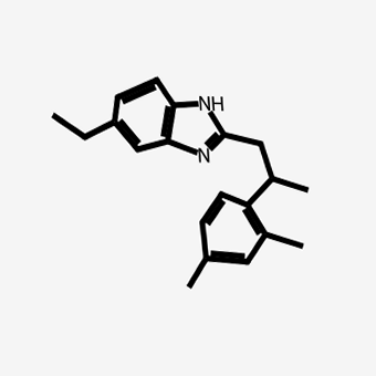 CCc1ccc2[nH]c(CC(C)c3ccc(C)cc3C)nc2c1